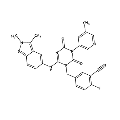 Cc1cncc(-n2c(=O)nc(Nc3ccc4nn(C)c(C)c4c3)n(Cc3ccc(F)c(C#N)c3)c2=O)c1